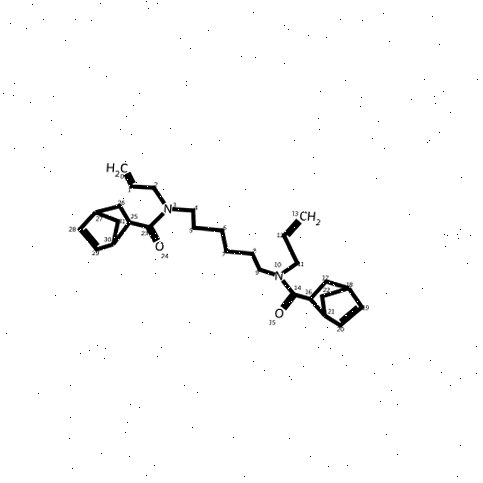 C=CCN(CCCCCCN(CC=C)C(=O)C1CC2C=CC1C2)C(=O)C1CC2C=CC1C2